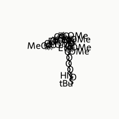 CC[C@H]1O[C@H](OC)[C@H](C)[C@@H](C)[C@@H]1O[C@@H]1O[C@@H](C)[C@@H](O[C@H]2O[C@H](CC)[C@@H](O[C@@H]3O[C@H](C)[C@@H](O[C@H]4O[C@H](CC)[C@@H](OCCOCCOCCOCCNC(=O)CSC(C)(C)C)[C@H](OC)[C@H]4OC)[C@H](OC)[C@H]3OC)[C@H](C)[C@H]2C)[C@H](OC)[C@H]1OC